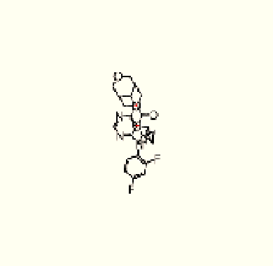 CC1(OC(=O)N2CC3COCC(C2)C3Oc2ncnc3c2cnn3-c2ccc(F)cc2F)CC1